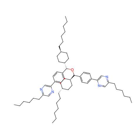 CCCCCCC[C@H]1CC[C@H](C(OC(c2ccc(-c3cnc(CCCCCC)cn3)cc2)[C@H]2CC[C@H](CCCCCCC)CC2)c2ccc(-c3cnc(CCCCCC)cn3)cc2)CC1